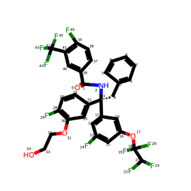 O=C(N[C@@](Cc1ccccc1)(c1cc(F)cc(OC(F)(F)C(F)F)c1)c1ccc(F)c(OCCO)c1)c1ccc(F)c(C(F)(F)F)c1